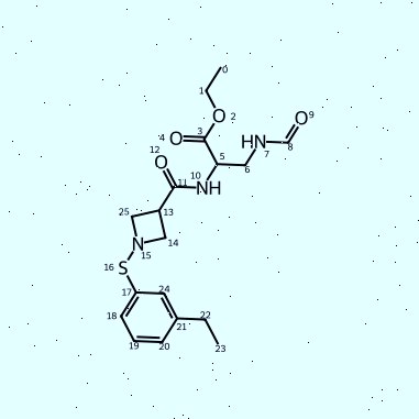 CCOC(=O)C(CNC=O)NC(=O)C1CN(Sc2cccc(CC)c2)C1